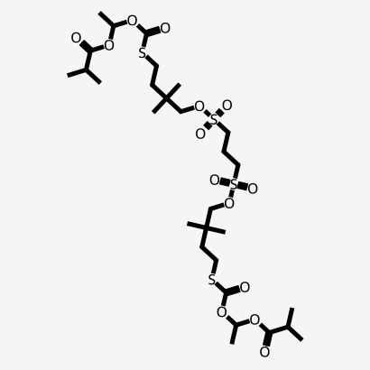 CC(OC(=O)SCCC(C)(C)COS(=O)(=O)CCCS(=O)(=O)OCC(C)(C)CCSC(=O)OC(C)OC(=O)C(C)C)OC(=O)C(C)C